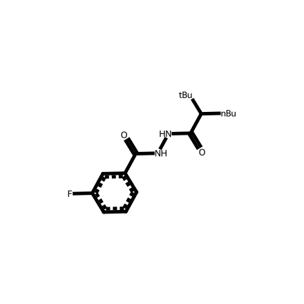 CCCCC(C(=O)NNC(=O)c1cccc(F)c1)C(C)(C)C